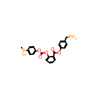 CPc1ccc(OC(=O)Oc2ccccc2C(=O)Oc2ccc(CP)cc2)cc1